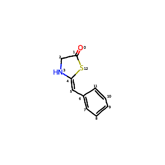 O=C1CNC(=Cc2ccccc2)S1